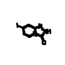 O=c1[nH]nc2cc(I)ccn12